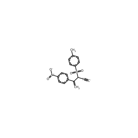 [C-]#[N+]C(C(=C)c1ccc([N+](=O)[O-])cc1)S(=O)(=O)c1ccc(C)cc1